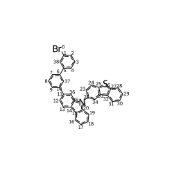 Brc1cccc(-c2cccc(-c3ccc4c5ccccc5n(-c5ccc6sc7ccccc7c6c5)c4c3)c2)c1